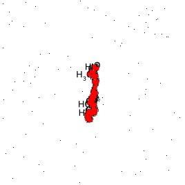 Cn1nc(C2CCC(=O)NC2=O)c2ccc(N3CCN(CCCCC4CCC(Oc5cccc(-c6ccc(N7CCc8cccc(C(=O)Nc9nc%10ccccc%10s9)c8C7)nc6C(=O)O)c5C(F)(F)F)CC4)CC3)nc21